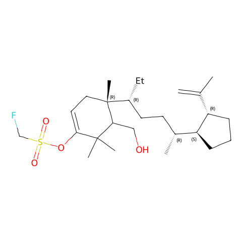 C=C(C)[C@@H]1CCC[C@H]1[C@H](C)CC[C@@H](CC)[C@@]1(C)CC=C(OS(=O)(=O)CF)C(C)(C)C1CO